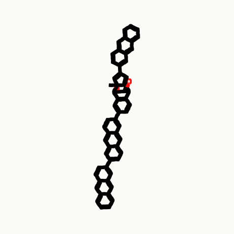 CC12C=C(c3ccc4cc5ccccc5cc4c3)C=C1C1C(=O)C(=O)C2c2cc(-c3ccc4cc5cc(-c6ccc7cc8ccccc8cc7c6)ccc5cc4c3)ccc21